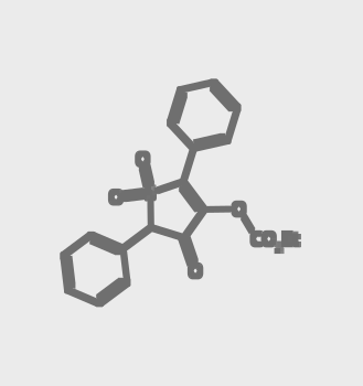 CCOC(=O)OC1=C(c2ccccc2)S(=O)(=O)C(c2ccccc2)C1=O